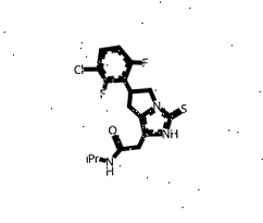 CC(C)NC(=O)Cc1[nH]c(=S)n2c1CC(c1c(F)ccc(Cl)c1F)C2